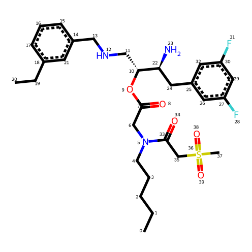 CCCCCN(CC(=O)O[C@H](CNCc1cccc(CC)c1)[C@@H](N)Cc1cc(F)cc(F)c1)C(=O)CS(C)(=O)=O